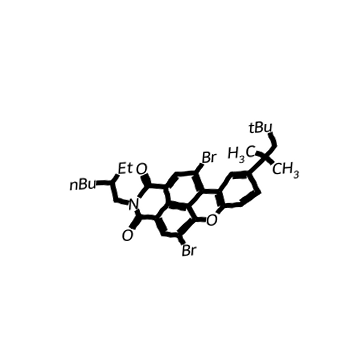 CCCCC(CC)Cn1c(=O)c2cc(Br)c3oc4ccc(C(C)(C)CC(C)(C)C)cc4c4c(Br)cc(c1=O)c2c34